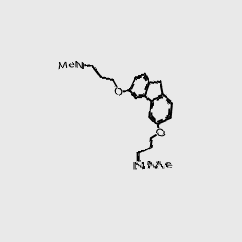 CNCCCOc1ccc2c(c1)-c1cc(OCCCNC)ccc1C2